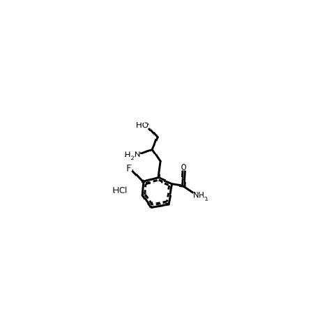 Cl.NC(=O)c1cccc(F)c1CC(N)CO